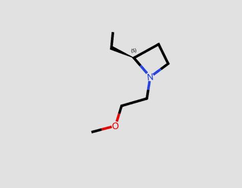 CC[C@H]1CCN1CCOC